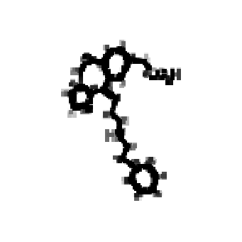 O=C(O)Cc1ccc2c(c1)/C(=C/CCNCCc1ccccc1)c1sccc1CO2